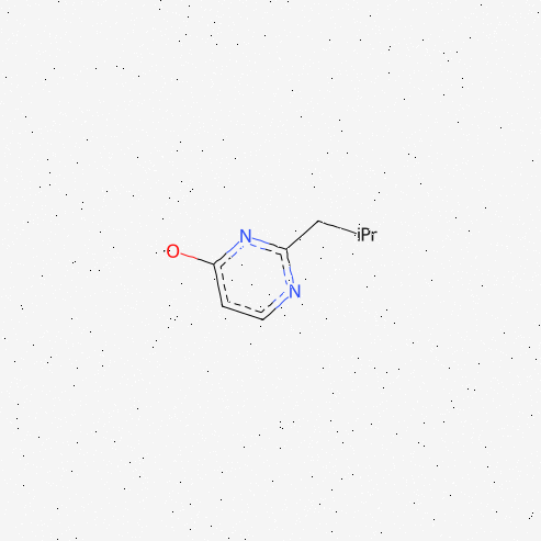 CC(C)Cc1nccc([O])n1